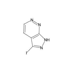 Ic1n[nH]c2nnccc12